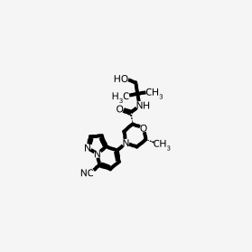 C[C@@H]1CN(c2ccc(C#N)n3nccc23)C[C@H](C(=O)NC(C)(C)CO)O1